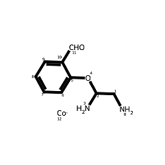 NCC(N)Oc1ccccc1C=O.[Co]